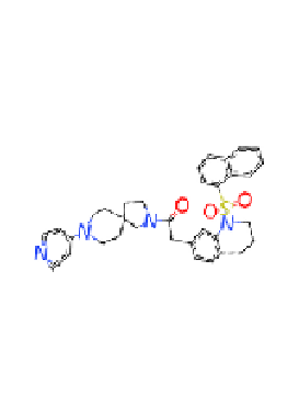 O=C(Cc1ccc2c(c1)N(S(=O)(=O)c1cccc3ccccc13)CCC2)N1CCC2(CCN(c3ccncc3)CC2)C1